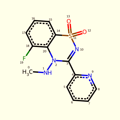 CNN1C(c2ccccn2)=NS(=O)(=O)c2cccc(F)c21